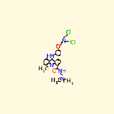 Cc1cccc2c(Nc3cccc(OCCN(CCCl)CCCl)c3)c3cccc(C(=O)NCCN(C)C)c3nc12